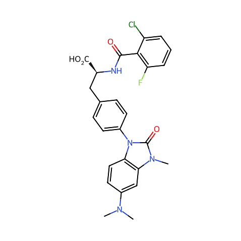 CN(C)c1ccc2c(c1)n(C)c(=O)n2-c1ccc(C[C@H](NC(=O)c2c(F)cccc2Cl)C(=O)O)cc1